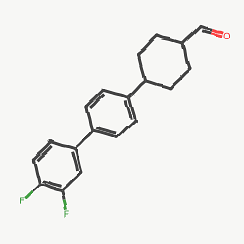 O=CC1CCC(c2ccc(-c3ccc(F)c(F)c3)cc2)CC1